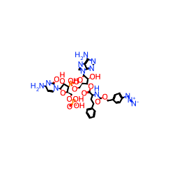 [N-]=[N+]=Nc1ccc(COC(=O)NC(CCc2ccccc2)C(=O)O[C@@H]2[C@@H](COP(=O)(O)[C@H]3[C@@H](O)[C@H](n4ccc(N)nc4=O)O[C@@H]3COP(=O)(O)O)OC(n3cnc4c(N)ncnc43)[C@@H]2O)cc1